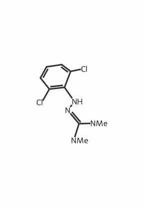 CNC(=NNc1c(Cl)cccc1Cl)NC